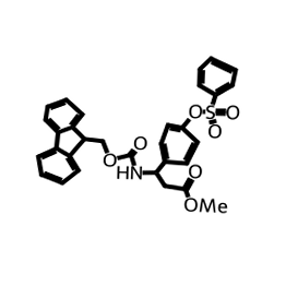 COC(=O)CC(NC(=O)OCC1c2ccccc2-c2ccccc21)c1ccc(OS(=O)(=O)c2ccccc2)cc1